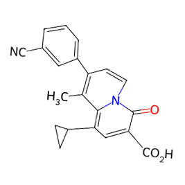 Cc1c(-c2cccc(C#N)c2)ccn2c(=O)c(C(=O)O)cc(C3CC3)c12